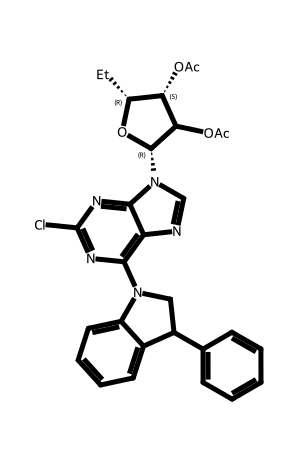 CC[C@H]1O[C@@H](n2cnc3c(N4CC(c5ccccc5)c5ccccc54)nc(Cl)nc32)C(OC(C)=O)[C@H]1OC(C)=O